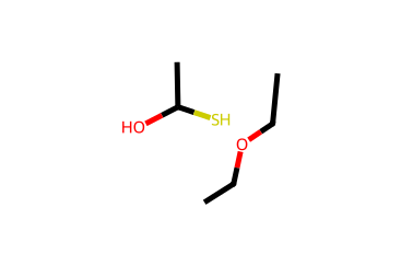 CC(O)S.CCOCC